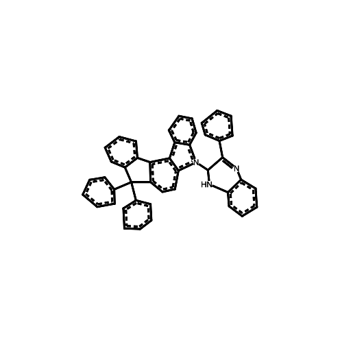 c1ccc(C2=Nc3ccccc3NC2n2c3ccccc3c3c4c(ccc32)C(c2ccccc2)(c2ccccc2)c2ccccc2-4)cc1